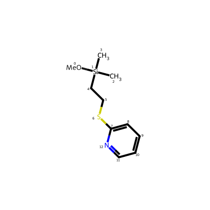 CO[Si](C)(C)CCSc1ccccn1